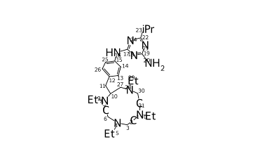 CCN1CCN(CC)CCN(CC)C(Cc2ccc(Nc3nc(N)nc(C(C)C)n3)cc2)CN(CC)CC1